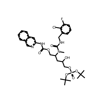 CN(C(=O)NCc1cccc(F)c1Cl)C(COC(=O)Nc1cc2ccccc2cn1)CC(O)COP(=O)(OC(C)(C)C)OC(C)(C)C